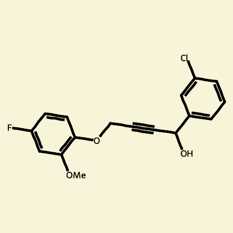 COc1cc(F)ccc1OCC#CC(O)c1cccc(Cl)c1